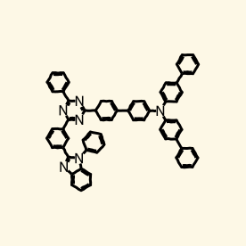 C1=CC(c2nc(-c3ccccc3)nc(-c3cccc(-c4nc5ccccc5n4-c4ccccc4)c3)n2)CC=C1c1ccc(N(c2ccc(-c3ccccc3)cc2)c2ccc(-c3ccccc3)cc2)cc1